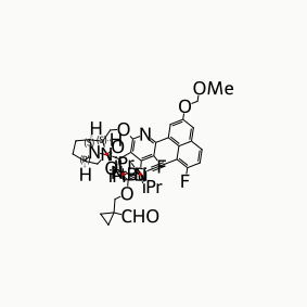 COCOc1cc(-c2nc3c4c(nc(OCC5(C=O)CC5)nc4c2F)N2C[C@H]4CC[C@@H]([C@H]2CO3)N4C(=O)OC(C)(C)C)c2c(C#C[Si](C(C)C)(C(C)C)C(C)C)c(F)ccc2c1